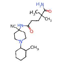 CC1CCCCC1N1CCC(C#N)(NC(=O)[CH]CC(C)(C)C(N)=O)CC1